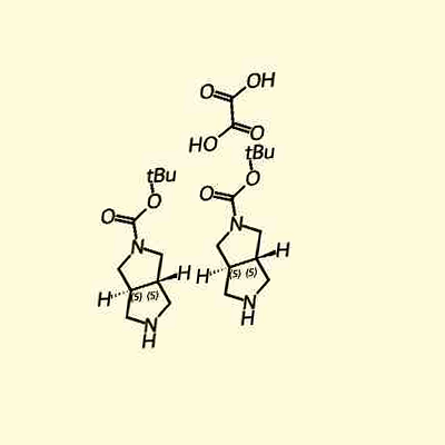 CC(C)(C)OC(=O)N1C[C@@H]2CNC[C@H]2C1.CC(C)(C)OC(=O)N1C[C@@H]2CNC[C@H]2C1.O=C(O)C(=O)O